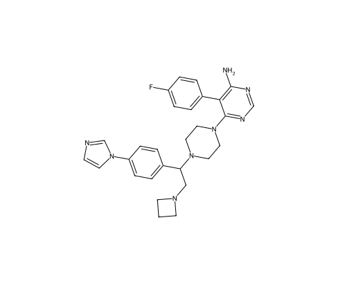 Nc1ncnc(N2CCN(C(CN3CCC3)c3ccc(-n4ccnc4)cc3)CC2)c1-c1ccc(F)cc1